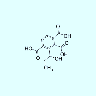 CCC(O)c1c(C(=O)O)ccc(C(=O)O)c1C(=O)O